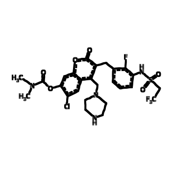 CN(C)C(=O)Oc1cc2oc(=O)c(Cc3cccc(NS(=O)(=O)CC(F)(F)F)c3F)c(CN3CCNCC3)c2cc1Cl